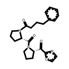 O=C(c1ncco1)[C@@H]1CCCN1C(=O)[C@@H]1CCCN1C(=O)CCCc1ccccc1